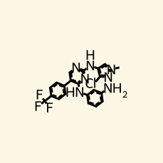 Cn1cc(Nc2ncc(-c3ccc(C(F)(F)F)cc3)c(Nc3cccc(N)c3)n2)c(Cl)n1